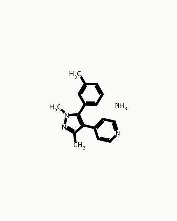 Cc1cccc(-c2c(-c3ccncc3)c(C)nn2C)c1.N